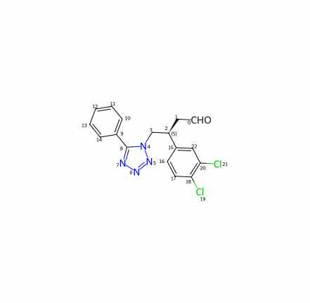 O=CC[C@H](Cn1nnnc1-c1ccccc1)c1ccc(Cl)c(Cl)c1